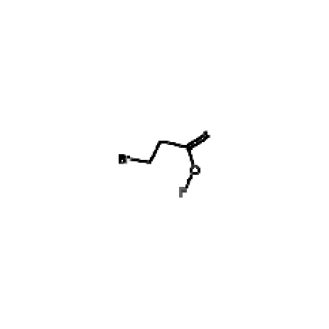 C=C(CCBr)OF